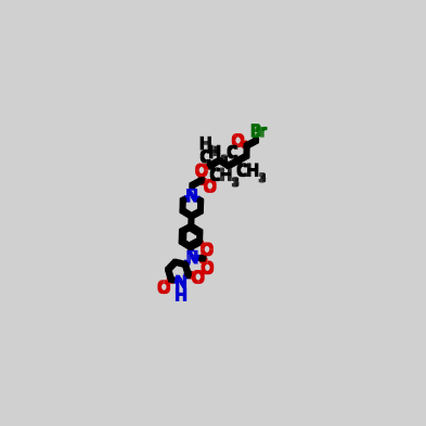 CC(C)(CCC(C)(C)OC(=O)CN1CCC(c2ccc3c(c2)oc(=O)n3C2CCC(=O)NC2=O)CC1)CC(=O)CBr